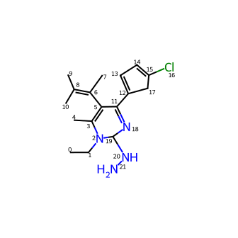 CCN1C(C)=C(C(C)=C(C)C)C(C2=CC=C(Cl)C2)=NC1NN